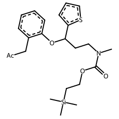 CC(=O)Cc1ccccc1OC(CCN(C)C(=O)OCC[Si](C)(C)C)c1cccs1